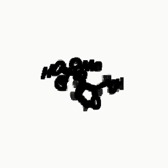 COP(=O)(O)OC1CCO[C@@H]1CO